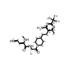 CN/C(=C\C=N)C(=O)N[C@@H](C)C(=O)N1CCC(CCc2c(C)nc(C(F)(F)F)nc2N)CC1